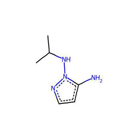 CC(C)Nn1nccc1N